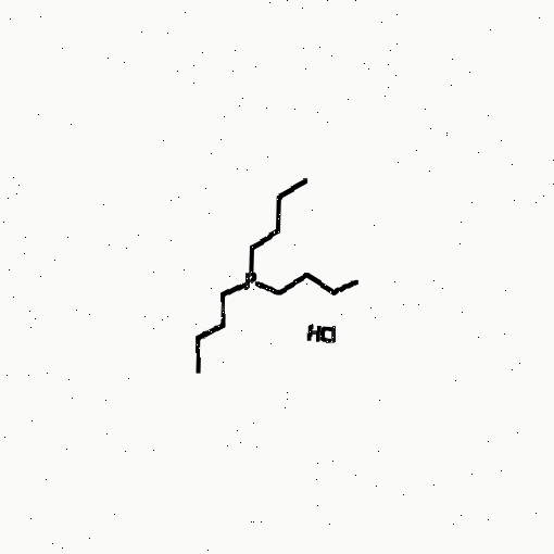 CCCCP(CCCC)CCCC.Cl